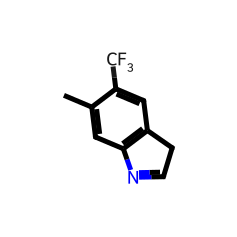 Cc1cc2c(cc1C(F)(F)F)CC=N2